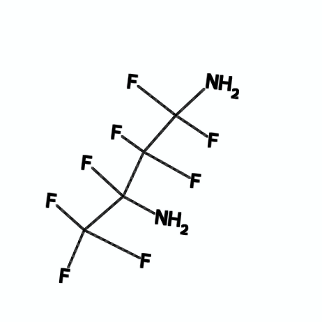 NC(F)(F)C(F)(F)C(N)(F)C(F)(F)F